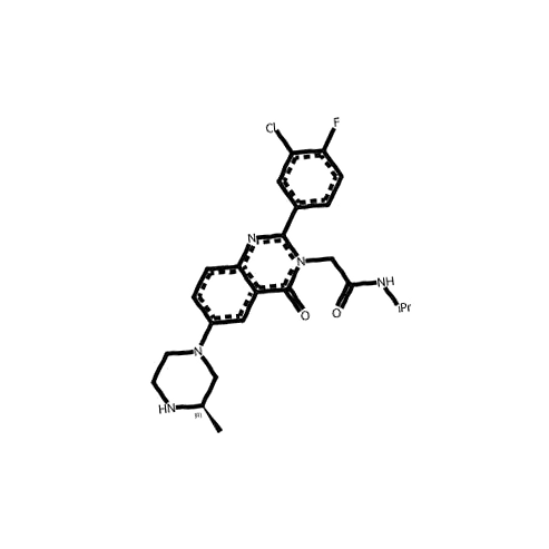 CC(C)NC(=O)Cn1c(-c2ccc(F)c(Cl)c2)nc2ccc(N3CCN[C@H](C)C3)cc2c1=O